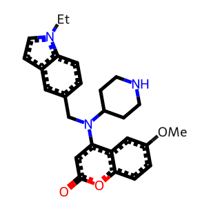 CCn1ccc2cc(CN(c3cc(=O)oc4ccc(OC)cc34)C3CCNCC3)ccc21